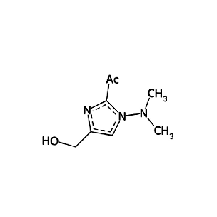 CC(=O)c1nc(CO)cn1N(C)C